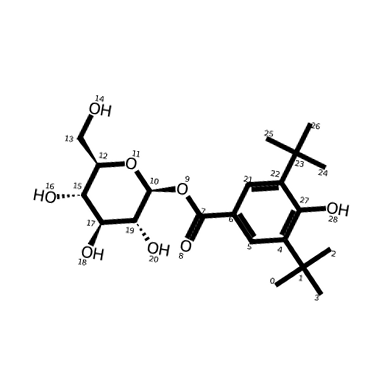 CC(C)(C)c1cc(C(=O)O[C@@H]2O[C@H](CO)[C@@H](O)[C@H](O)[C@H]2O)cc(C(C)(C)C)c1O